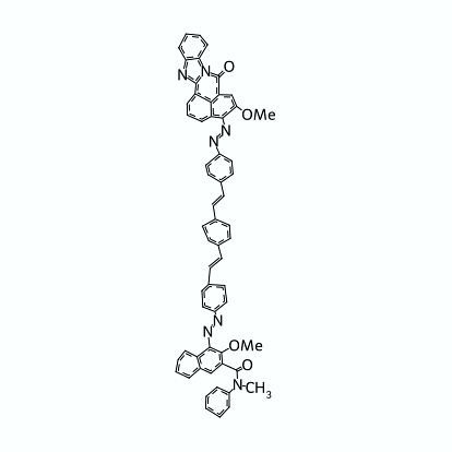 COc1cc2c(=O)n3c4ccccc4nc3c3cccc(c1N=Nc1ccc(C=Cc4ccc(C=Cc5ccc(N=Nc6c(OC)c(C(=O)N(C)c7ccccc7)cc7ccccc67)cc5)cc4)cc1)c23